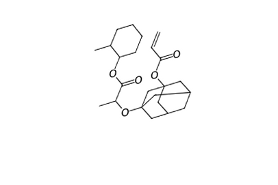 C=CC(=O)OC12CC3CC(C1)CC(OC(C)C(=O)OC1CCCCC1C)(C3)C2